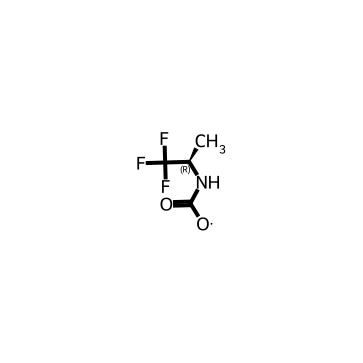 C[C@@H](NC([O])=O)C(F)(F)F